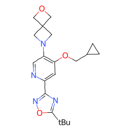 CC(C)(C)c1nc(-c2cc(OCC3CC3)c(N3CC4(COC4)C3)cn2)no1